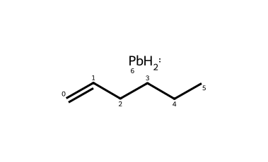 C=CCCCC.[PbH2]